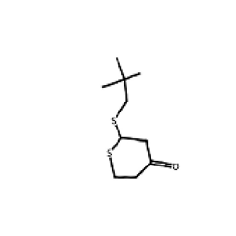 CC(C)(C)CSC1CC(=O)CCS1